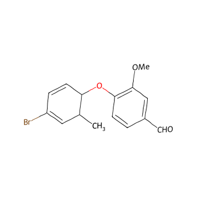 COc1cc(C=O)ccc1OC1C=CC(Br)=CC1C